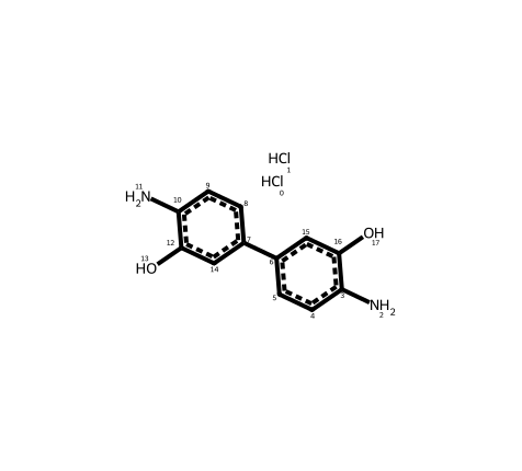 Cl.Cl.Nc1ccc(-c2ccc(N)c(O)c2)cc1O